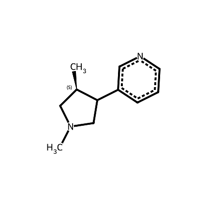 C[C@@H]1CN(C)CC1c1cccnc1